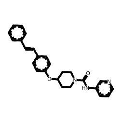 O=C(Nc1cccnc1)N1CCC(Oc2ccc(/C=C/c3ccccc3)cc2)CC1